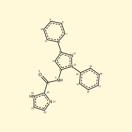 O=C(Nc1cc(-c2ccccc2)nn1-c1ccccc1)c1ncc[nH]1